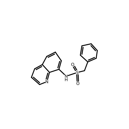 O=S(=O)(Cc1ccccc1)Nc1cccc2cccnc12